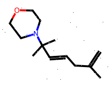 C=C(C)CC=CC(C)(C)N1CCOCC1